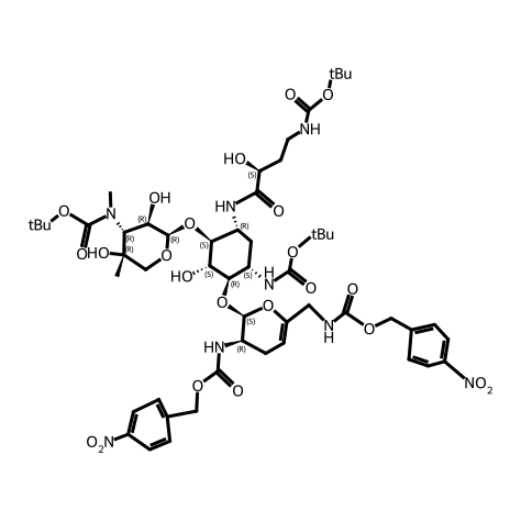 CN(C(=O)OC(C)(C)C)[C@@H]1[C@@H](O)[C@@H](O[C@@H]2[C@@H](O)[C@H](O[C@H]3OC(CNC(=O)OCc4ccc([N+](=O)[O-])cc4)=CC[C@H]3NC(=O)OCc3ccc([N+](=O)[O-])cc3)[C@@H](NC(=O)OC(C)(C)C)C[C@H]2NC(=O)[C@@H](O)CCNC(=O)OC(C)(C)C)OC[C@]1(C)O